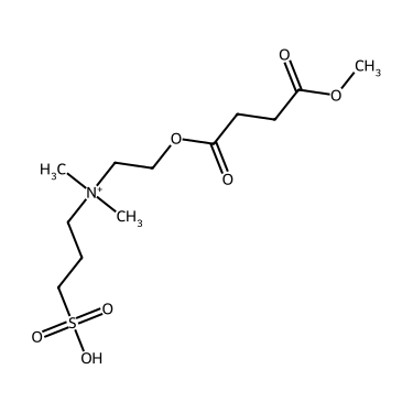 COC(=O)CCC(=O)OCC[N+](C)(C)CCCS(=O)(=O)O